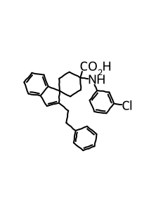 O=C(O)C1(Nc2cccc(Cl)c2)CCC2(CC1)C(CCc1ccccc1)=Cc1ccccc12